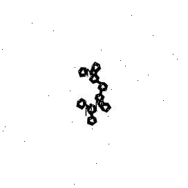 c1ccc(-c2cc(-n3c4ccccc4c4cc(-c5cccc(-c6ccc7c(c6)c6ccccc6n7-c6ccccc6)c5)ccc43)cc(-c3ccccc3)n2)cc1